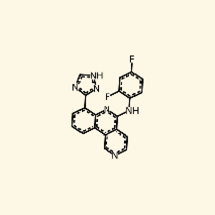 Fc1ccc(Nc2nc3c(-c4nc[nH]n4)cccc3c3cnccc23)c(F)c1